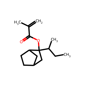 C=C(C)C(=O)OC1(C(C)CC)CC2CCC1C2